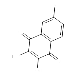 CC(=O)c1ccc2c(c1)C(=O)C(O)=C(O)C2=O